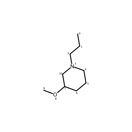 CCCN1CCCC(OC)C1